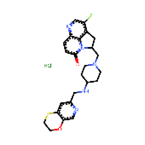 Cl.O=c1ccc2ncc(F)c3c2n1C(CN1CCC(NCc2cc4c(cn2)OCCS4)CC1)C3